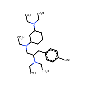 CSc1ccc(CC(CN(CC(=O)O)C2CCCC(N(CC(=O)O)CC(=O)O)C2)N(CC(=O)O)CC(=O)O)cc1